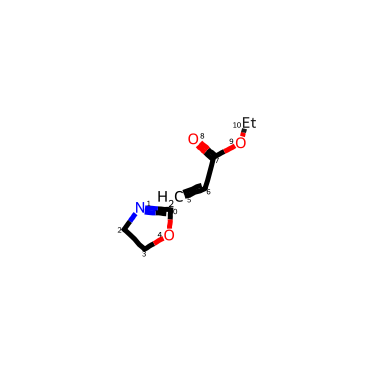 C1=NCCO1.C=CC(=O)OCC